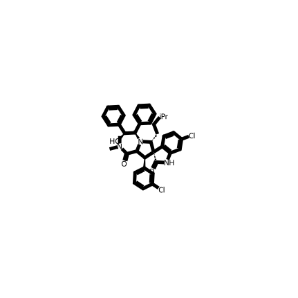 CC(C)CC[C@H]1N([C@H](c2ccccc2)[C@@H](O)c2ccccc2)C(C(=O)N(C)C)[C@H](c2cccc(Cl)c2)[C@@]12C(=O)Nc1cc(Cl)ccc12